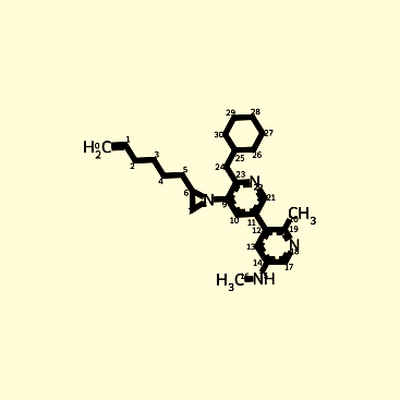 C=CCCCCC1CN1c1cc(-c2cc(NC)cnc2C)cnc1CC1CCCCC1